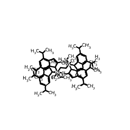 C[SiH2][Zr]([Cl])([Cl])([CH2][CH2][Zr]([Cl])([Cl])([SiH2]C)([CH]1C(C)=Cc2c(C(C)C)cc(C(C)C)cc21)[CH]1C(C)=Cc2c(C(C)C)cc(C(C)C)cc21)([CH]1C(C)=Cc2c(C(C)C)cc(C(C)C)cc21)[CH]1C(C)=Cc2c(C(C)C)cc(C(C)C)cc21